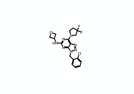 FC1(F)CCN(c2nc(NC3COC3)nc3c2nnn3Cc2ccccc2Cl)C1